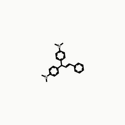 CN(C)c1ccc([C](C=Cc2ccccc2)c2ccc(N(C)C)cc2)cc1